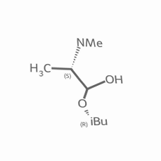 CC[C@@H](C)OC(O)[C@H](C)NC